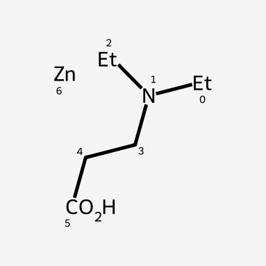 CCN(CC)CCC(=O)O.[Zn]